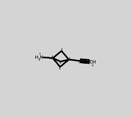 C#CC12CC(N)(C1)C2